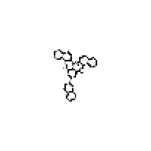 S=P12c3ccc4ccccc4c3Oc3cc(-c4ccc5ccccc5c4)cc(c31)Oc1c2ccc2ccccc12